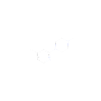 CN1CCN(c2cc(C(C)(C)C)ccn2)CC1